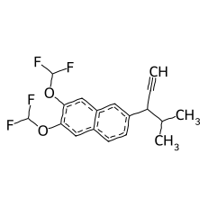 C#CC(c1ccc2cc(OC(F)F)c(OC(F)F)cc2c1)C(C)C